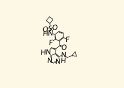 O=C(c1c(F)ccc(NS(=O)(=O)C2CCC2)c1F)c1c[nH]c2ncnc(NCC3CC3)c12